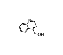 OCc1ncnc2ccccc12